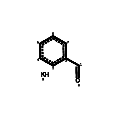 O=Cc1ccccc1.[KH]